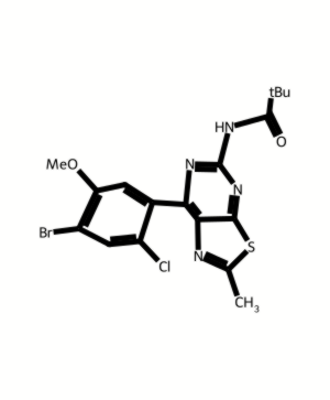 COc1cc(-c2nc(NC(=O)C(C)(C)C)nc3sc(C)nc23)c(Cl)cc1Br